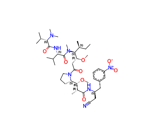 CC[C@H](C)[C@@H]([C@@H](CC(=O)N1CCC[C@H]1[C@H](OC)[C@@H](C)C(=O)N[C@H](CC#N)Cc1cccc([N+](=O)[O-])c1)OC)N(C)C(=O)[C@@H](NC(=O)[C@H](C(C)C)N(C)C)C(C)C